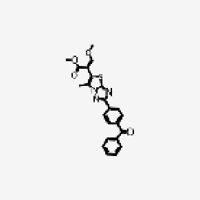 COC=C(C(=O)OC)c1sc2nc(-c3ccc(C(=O)c4ccccc4)cc3)nn2c1C